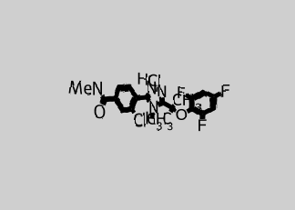 CNC(=O)c1ccc(-c2nnc(C(C)(C)Oc3c(F)cc(F)cc3F)n2C)c(Cl)c1.Cl